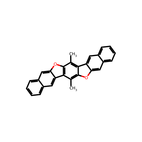 Cc1c2oc3cc4ccccc4cc3c2c(C)c2oc3cc4ccccc4cc3c12